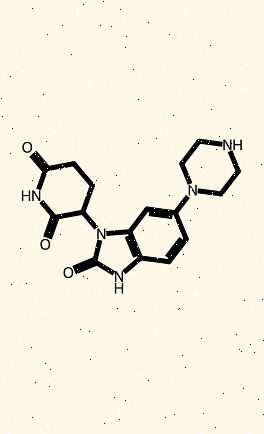 O=C1CCC(n2c(=O)[nH]c3ccc(N4CCNCC4)cc32)C(=O)N1